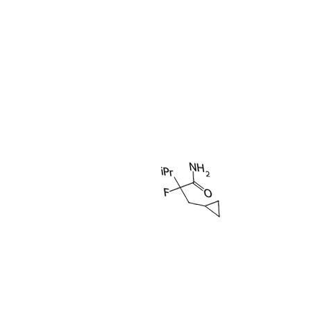 CC(C)C(F)(CC1CC1)C(N)=O